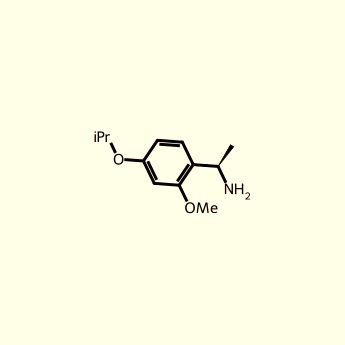 COc1cc(OC(C)C)ccc1[C@@H](C)N